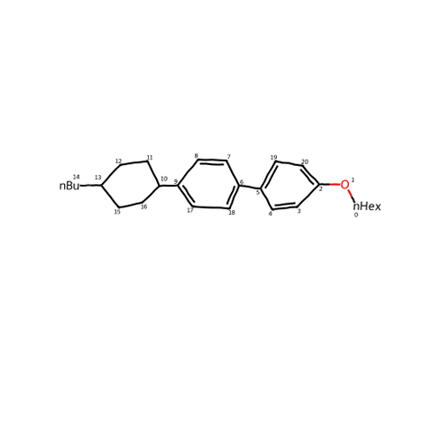 CCCCCCOc1ccc(-c2ccc(C3CCC(CCCC)CC3)cc2)cc1